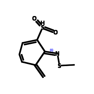 C=C1C=CC=C([SH](=O)=O)/C1=N/SC